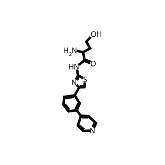 NC(CCO)C(=O)Nc1nc(-c2cccc(-c3ccncc3)c2)cs1